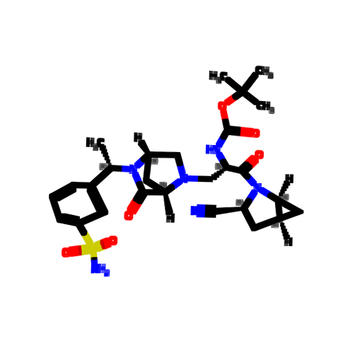 C[C@@H](c1cccc(S(N)(=O)=O)c1)N1C(=O)[C@@H]2C[C@H]1CN2C[C@H](NC(=O)OC(C)(C)C)C(=O)N1[C@H](C#N)C[C@@H]2C[C@@H]21